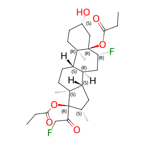 CCC(=O)O[C@]12C[C@@H](O)CC[C@]1(C)[C@H]1CC[C@@]3(C)[C@@H](C[C@H](C)[C@]3(OC(=O)CC)C(=O)CF)[C@@H]1C[C@H]2F